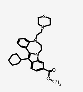 COC(=O)c1ccc2c(C3CCCCC3)c3n(c2c1)CCN(CCN1CCSCC1)c1ccccc1-3